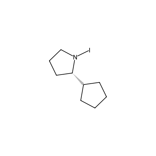 IN1CCC[C@H]1C1CCCC1